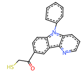 O=C(CS)c1ccc2c(c1)c1ncccc1n2-c1ccccc1